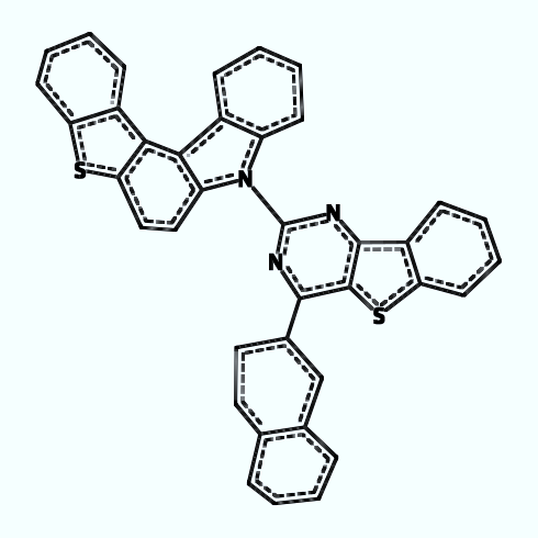 c1ccc2cc(-c3nc(-n4c5ccccc5c5c6c(ccc54)sc4ccccc46)nc4c3sc3ccccc34)ccc2c1